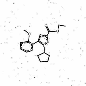 CCOC(=O)c1cc(-c2ccccc2OC)n(C2CCCC2)n1